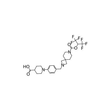 O=C(O)C1CCN(c2ccc(CN3CC4(CCN(C(=O)OC(C(F)(F)F)C(F)(F)F)CC4)C3)cc2)CC1